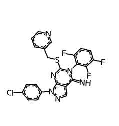 N=c1c2cnn(-c3ccc(Cl)cc3)c2nc(SCc2cccnc2)n1-c1c(F)ccc(F)c1F